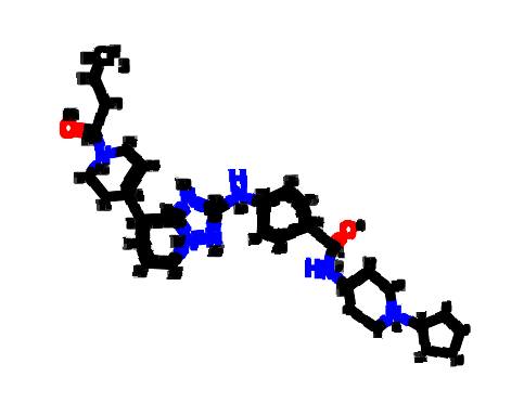 O=C(NC1CCN(C2CCCC2)CC1)c1ccc(Nc2nc3c(C4=CCN(C(=O)CCC(F)(F)F)CC4)cccn3n2)cc1